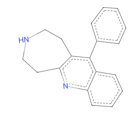 c1ccc(-c2c3c(nc4ccccc24)CCNCC3)cc1